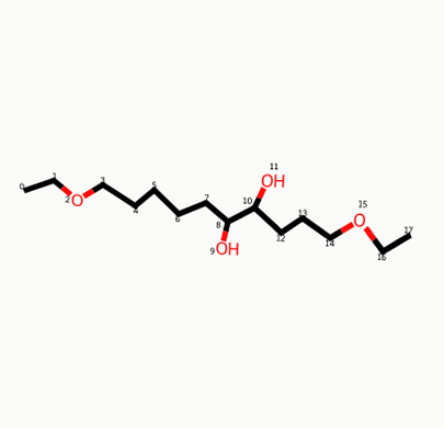 CCOCCCCCC(O)C(O)CCCOCC